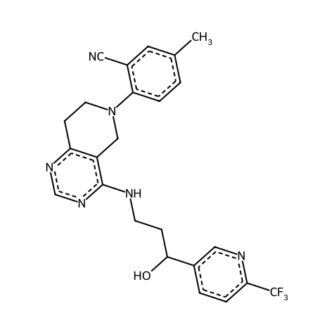 Cc1ccc(N2CCc3ncnc(NCCC(O)c4ccc(C(F)(F)F)nc4)c3C2)c(C#N)c1